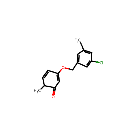 CC1C=CC(OCc2cc(Cl)cc(C(F)(F)F)c2)=CC1=O